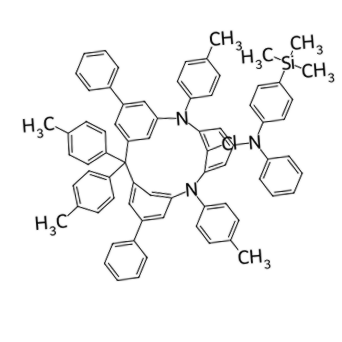 Cc1ccc(N2c3cc(-c4ccccc4)cc(c3)C(c3ccc(C)cc3)(c3ccc(C)cc3)c3cc(-c4ccccc4)cc(c3)N(c3ccc(C)cc3)c3cc(N(c4ccccc4)c4ccc([Si](C)(C)C)cc4)cc2c3Cl)cc1